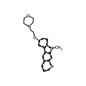 Cn1c2ccc(OCCN3CCOCC3)cc2c2cc3cccnc3cc21